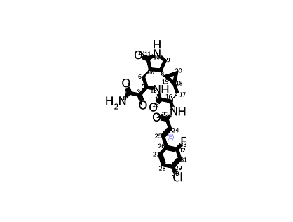 NC(=O)C(=O)C(C[C@@H]1CCNC1=O)NC(=O)[C@H](CC1CC1)NC(=O)/C=C/c1ccc(Cl)cc1F